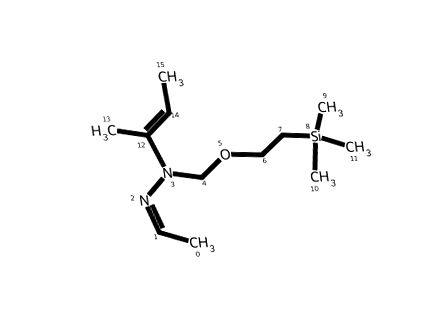 C/C=N\N(COCC[Si](C)(C)C)/C(C)=C/C